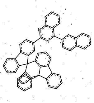 c1ccc(C23c4ccccc4-c4cccc(c42)C2(c4ccccc4-c4ccc(-c5nc(-c6ccc7ccccc7c6)c6ccccc6n5)cc42)c2ccccc23)cc1